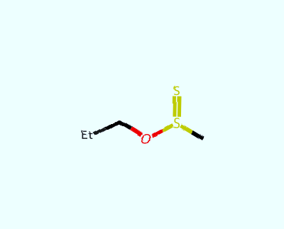 CCCOS(C)=S